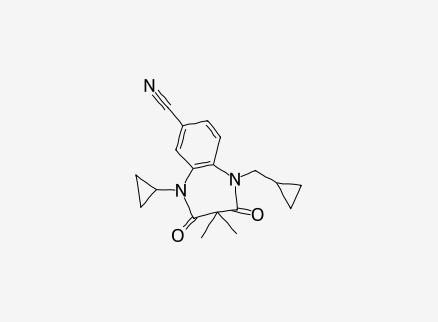 CC1(C)C(=O)N(CC2CC2)c2ccc(C#N)cc2N(C2CC2)C1=O